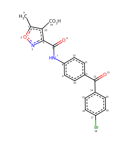 Cc1onc(C(=O)Nc2ccc(C(=O)c3ccc(Br)cc3)cc2)c1C(=O)O